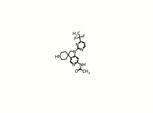 CC(=O)Nc1cc2c(cn1)C1(CCNCC1)CN2c1nccc(C(C)(F)F)n1